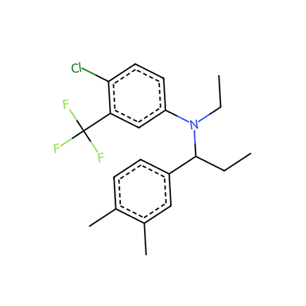 CCC(c1ccc(C)c(C)c1)N(CC)c1ccc(Cl)c(C(F)(F)F)c1